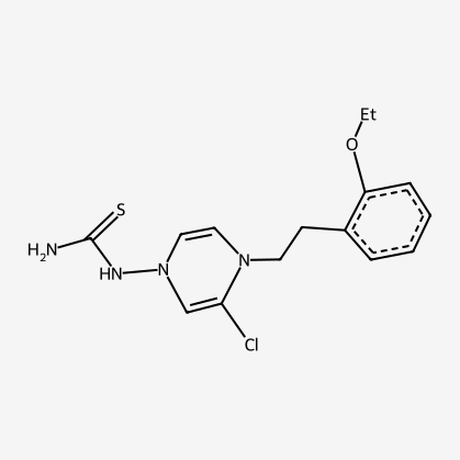 CCOc1ccccc1CCN1C=CN(NC(N)=S)C=C1Cl